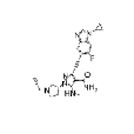 C#CCN1CCC(n2nc(C#Cc3cc4ncn(C5CC5)c4cc3F)c(C(N)=O)c2NC)C1